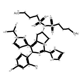 CC(=O)OCCCS(=O)(=O)N([C@H]1CC2=C(c3ccn(C(F)F)n3)[C@H](c3ccc(F)cc3Cl)N=C(c3nccs3)N2C1)S(=O)(=O)CCCOC(C)=O